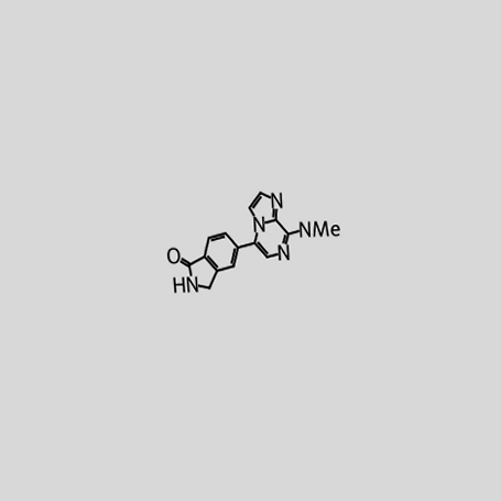 CNc1ncc(-c2ccc3c(c2)CNC3=O)n2ccnc12